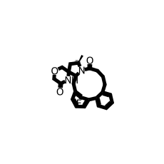 C[C@@H]1CC2(COCC(=O)N2)C2Cc3cccc(c3F)-c3ccccc3CCCC(=O)N21